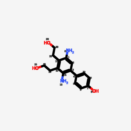 Nc1cc(-c2ccc(O)cc2)c(N)c(CCO)c1CCO